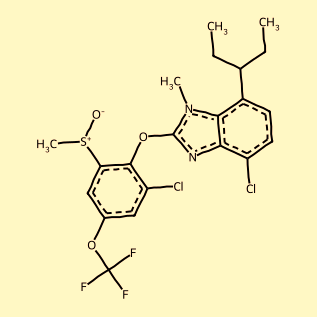 CCC(CC)c1ccc(Cl)c2nc(Oc3c(Cl)cc(OC(F)(F)F)cc3[S+](C)[O-])n(C)c12